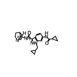 O=C(N[C@@H]1CN2CCC1CC2)c1nn(CC2CC2)c2cc(NC(=O)C3CC3)ccc12